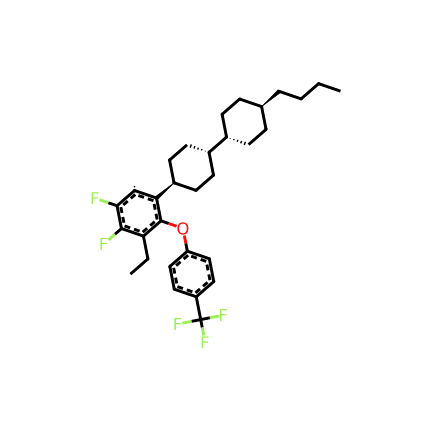 CCCC[C@H]1CC[C@H]([C@H]2CC[C@H](c3[c]c(F)c(F)c(CC)c3Oc3ccc(C(F)(F)F)cc3)CC2)CC1